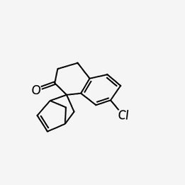 O=C1CCc2ccc(Cl)cc2C12CC1C=CC2C1